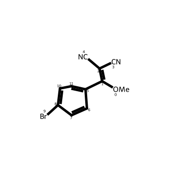 COC(=C(C#N)C#N)c1ccc(Br)cc1